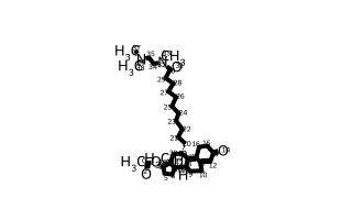 CC(=O)O[C@H]1CC[C@H]2[C@@H]3CCC4=CC(=O)CCC4=C3[C@@H](CCCCCCCCCCC(=O)N(C)CCN(C)C)C[C@]12C